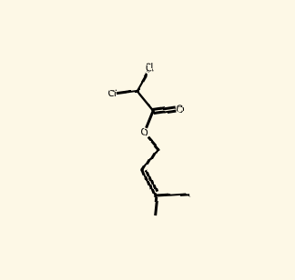 CC(C)=CCOC(=O)C(Cl)Cl